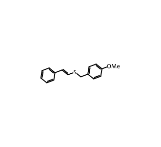 COc1ccc(CSC=Cc2ccccc2)cc1